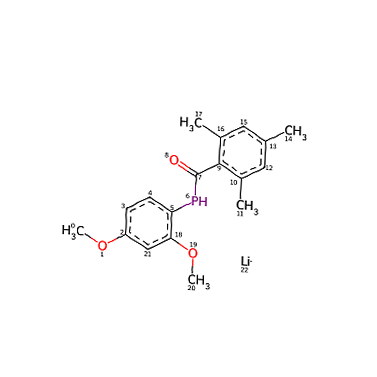 COc1ccc(PC(=O)c2c(C)cc(C)cc2C)c(OC)c1.[Li]